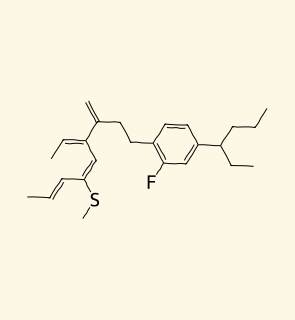 C=C(CCc1ccc(C(CC)CCC)cc1F)C(/C=C(\C=CC)SC)=C/C